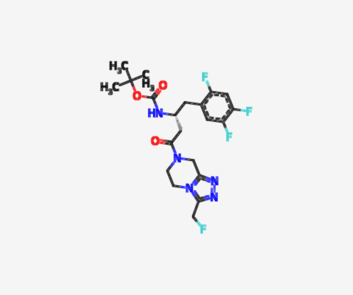 CC(C)(C)OC(=O)N[C@@H](CC(=O)N1CCn2c(CF)nnc2C1)Cc1cc(F)c(F)cc1F